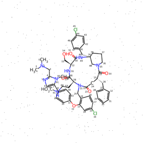 CN(C)Cc1ncc(-c2ccc(Oc3cc(Cl)ccc3CN3C(=O)C[C@@H](Cc4ccccc4)C(=O)N4CCC[C@@](Cc5ccc(Cl)cc5)(C4)NC(=O)[C@H](CO)NC(=O)[C@@H]3CCNC(=O)O)cc2)n1C